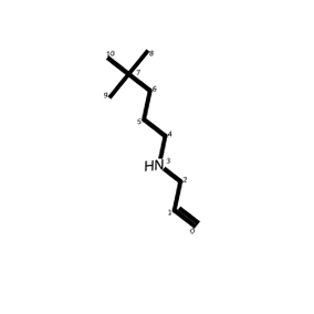 C=CCNCCCC(C)(C)C